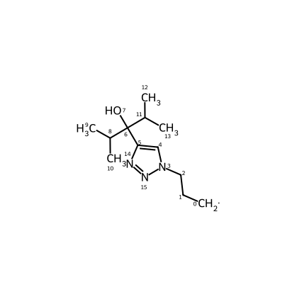 [CH2]CCn1cc(C(O)(C(C)C)C(C)C)nn1